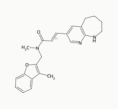 Cc1c(CN(C)C(=O)/C=C/c2cnc3c(c2)CCCCN3)oc2ccccc12